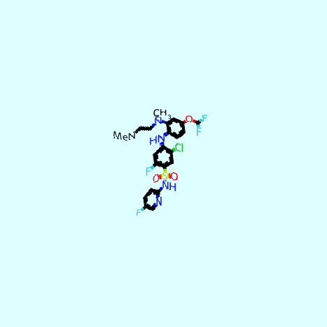 CNCCN(C)c1cc(OC(F)F)ccc1Nc1cc(F)c(S(=O)(=O)Nc2ccc(F)cn2)cc1Cl